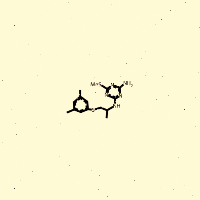 CSc1nc(N)nc(NC(C)CSc2cc(C)cc(C)c2)n1